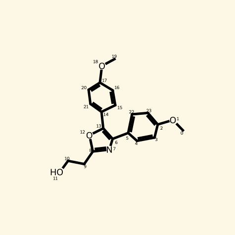 COc1ccc(-c2nc(CCO)oc2-c2ccc(OC)cc2)cc1